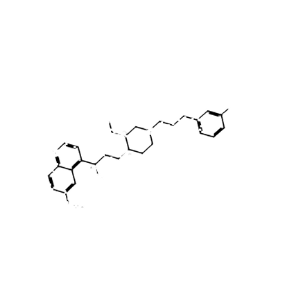 COc1ccc2nccc([C@H](O)CC[C@@H]3CCN(CCCc4cccc(Cl)c4)C[C@@H]3CC(=O)O)c2c1